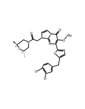 CCCCOc1c(-c2ncc(Cc3ccc(Cl)c(Cl)c3)s2)nc2n(CC(=O)N3C[C@H](C)O[C@@H](C)C3)ccn2c1=O